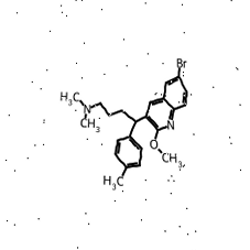 COc1nc2ccc(Br)cc2cc1C(CCCN(C)C)c1ccc(C)cc1